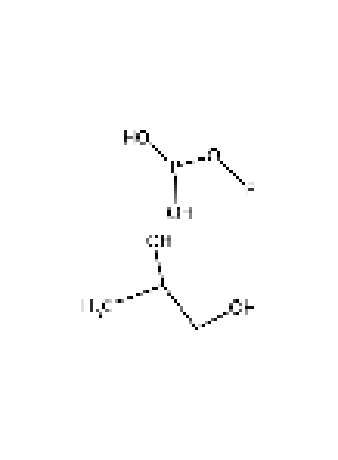 CC(O)CO.OP(O)OF